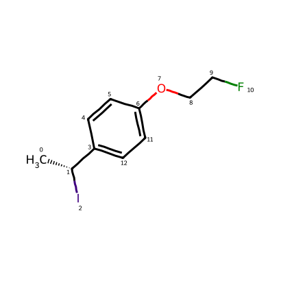 C[C@@H](I)c1ccc(OCCF)cc1